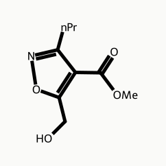 CCCc1noc(CO)c1C(=O)OC